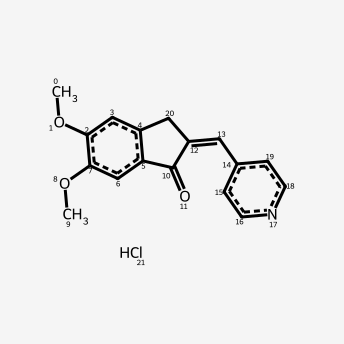 COc1cc2c(cc1OC)C(=O)C(=Cc1ccncc1)C2.Cl